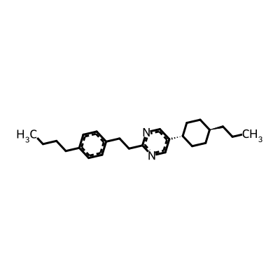 CCCCc1ccc(CCc2ncc([C@H]3CC[C@H](CCC)CC3)cn2)cc1